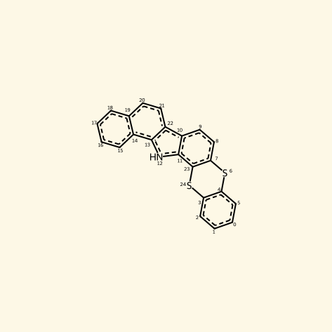 c1ccc2c(c1)Sc1ccc3c([nH]c4c5ccccc5ccc34)c1S2